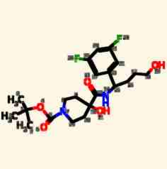 CC(C)(C)OC(=O)N1CCC(O)(C(=O)NC(CCCO)c2cc(F)cc(F)c2)CC1